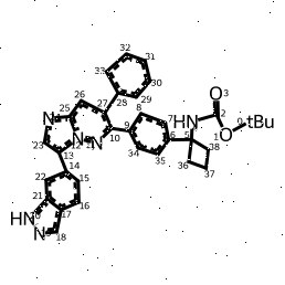 CC(C)(C)OC(=O)NC1(c2ccc(-c3nn4c(-c5ccc6cn[nH]c6c5)cnc4cc3-c3ccccc3)cc2)CCC1